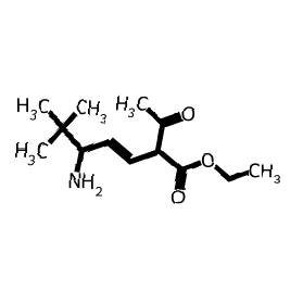 CCOC(=O)C(C=CC(N)C(C)(C)C)C(C)=O